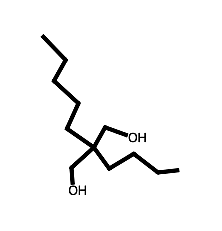 CCCCCC(CO)(CO)CCCC